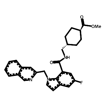 COC(=O)[C@H]1CC[C@H](CNC(=O)c2cc(F)cc3ccn(Cc4cc5ccccc5cn4)c23)CC1